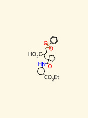 CCOC(=O)[C@H]1CCC[C@@H](NC(=O)C2(CC(CCS(=O)(=O)c3ccccc3)C(=O)O)CCCC2)C1